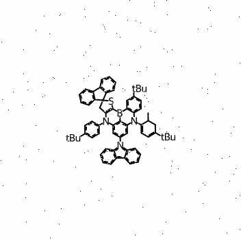 CC1CC(C(C)(C)C)=CC=C1N1c2ccc(C(C)(C)C)cc2B2C3=C(CC4(S3)c3ccccc3-c3ccccc34)N(c3ccc(C(C)(C)C)cc3)c3cc(-n4c5ccccc5c5ccccc54)cc1c32